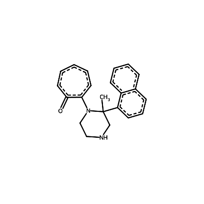 CC1(c2cccc3ccccc23)CNCCN1c1cccccc1=O